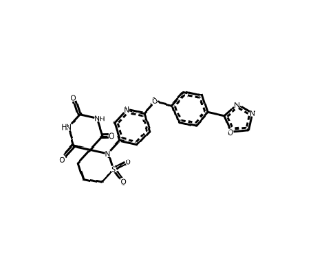 O=C1NC(=O)C2(CCCS(=O)(=O)N2c2ccc(Oc3ccc(-c4nnco4)cc3)nc2)C(=O)N1